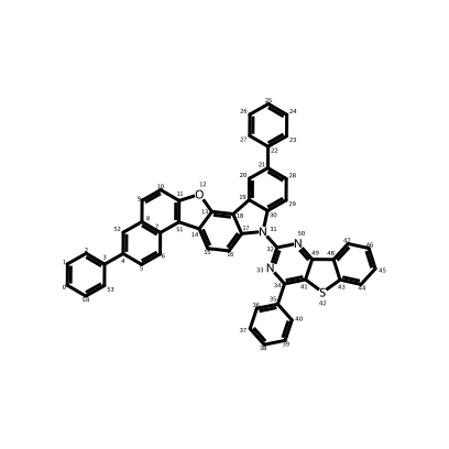 c1ccc(-c2ccc3c(ccc4oc5c(ccc6c5c5cc(-c7ccccc7)ccc5n6-c5nc(-c6ccccc6)c6sc7ccccc7c6n5)c43)c2)cc1